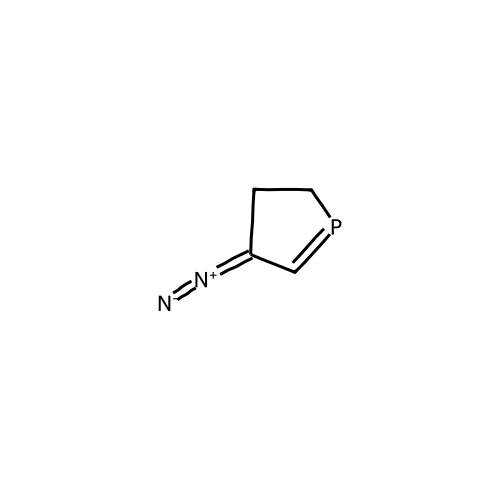 [N-]=[N+]=C1C=PCC1